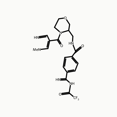 CN/C=C(\C=N)C(=O)N1CCOCC1CNC(=O)c1ccc(C(=N)NC(=O)C(F)(F)F)cc1